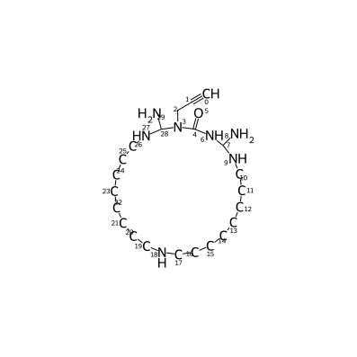 C#CCN1C(=O)NC(N)NCCCCCCCCNCCCCCCCCNC1N